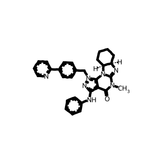 CN1C(=O)c2c(Nc3ccccc3)nn(Cc3ccc(-c4ccccn4)cc3)c2N2C1=N[C@@H]1CCCC[C@@H]12